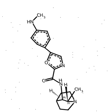 CNc1ccc(-c2cnc(C(=O)N[C@@H]3C4CCN(CC4)[C@H]3C)o2)cc1